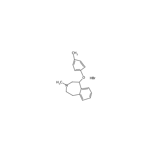 Br.Cc1ccc(OC2CN(C)CCc3ccccc32)cc1